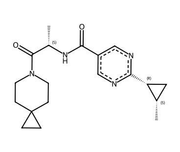 C[C@H](NC(=O)c1cnc([C@@H]2C[C@@H]2C)nc1)C(=O)N1CCC2(CC1)CC2